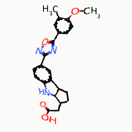 COc1ccc(-c2nc(-c3ccc4c(c3)C3CCC(CC(=O)O)C3N4)no2)cc1C